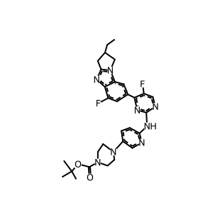 CCC1Cc2nc3c(F)cc(-c4nc(Nc5ccc(N6CCN(C(=O)OC(C)(C)C)CC6)cn5)ncc4F)cc3n2C1